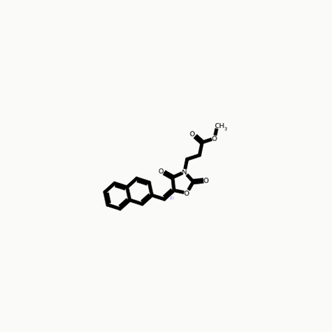 COC(=O)CCN1C(=O)O/C(=C/c2ccc3ccccc3c2)C1=O